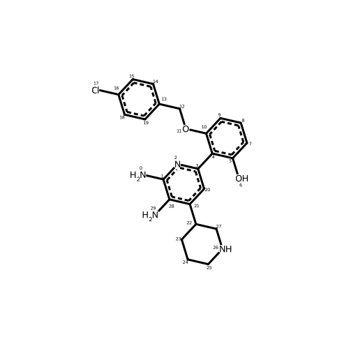 Nc1nc(-c2c(O)cccc2OCc2ccc(Cl)cc2)cc(C2CCCNC2)c1N